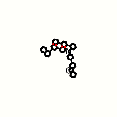 c1ccc(-c2ccc(-c3ccccc3N(c3ccc(-c4cccc(-c5cccc6ccccc56)c4)cc3)c3ccc(-c4ccc5c(c4)oc4ccccc45)cc3)cc2)cc1